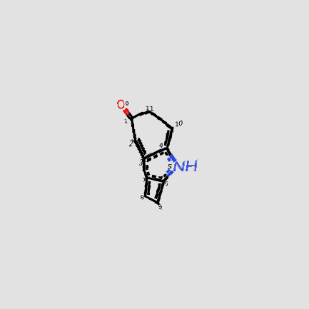 O=C1C=c2c([nH]c3c2=CC=3)=CC1